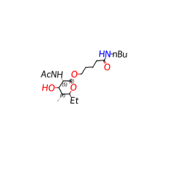 CCCCNC(=O)CCCCO[C@@H]1OC(CC)[C@H](C)C(O)[C@@H]1NC(C)=O